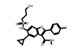 CNC(=O)c1c(-c2ccc(F)cc2)oc2cc(NS(=O)(=O)CCCO)c(C3CC3)cc12